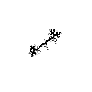 CC(C)(C)C(C(=O)O[SiH2]CCC[SiH2]OC(=O)C(C(C)(C)C)C(C)(C)C)C(C)(C)C